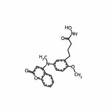 COc1ccc(N(C)c2cc(=O)oc3ccccc23)cc1CCCC(=O)NO